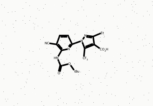 CCc1nn(-c2ccc(C#N)c(NC(=O)OC(C)(C)C)n2)c(C(F)(F)F)c1C(=O)O